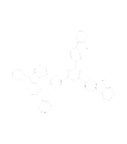 CC1Cc2c(c3c(-c4cccc(-c5nc(-c6ccc7c(c6)C(C)(C)c6ccccc6-7)cc(-c6ccc7c(c6)C(C)(C)c6ccccc6-7)n5)c4)cccc3n2-c2ccccc2)C=C1c1ccccc1